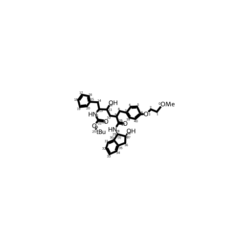 COCCOc1ccc(CC(CC(O)C(Cc2ccccc2)NC(=O)OC(C)(C)C)C(=O)N[C@H]2c3ccccc3C[C@@H]2O)cc1